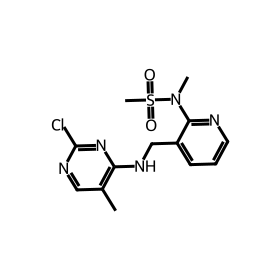 Cc1cnc(Cl)nc1NCc1cccnc1N(C)S(C)(=O)=O